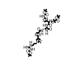 C[n+]1cc(-c2ncc(C(=O)NC[C@H]3NC(=O)[C@H]3NC(=O)/C(=N\OC(C)(C)C(=O)OC(C)(C)C)c3csc(NC(=O)OC(C)(C)C)n3)s2)cn1CCCNC(=N)NC(=O)OC(C)(C)C